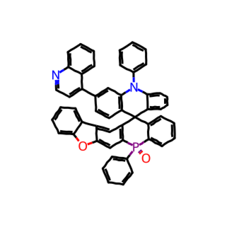 O=P1(c2ccccc2)c2ccccc2C2(c3ccccc3N(c3ccccc3)c3cc(-c4ccnc5ccccc45)ccc32)c2cc3c(cc21)oc1ccccc13